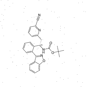 CC(C)(C)OC(=O)N[C@@H](Cc1cccc(C#N)n1)c1ccccc1-c1noc2ccccc12